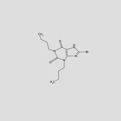 CCCCn1c(=O)c2[nH]c(Br)nc2n(CCCC)c1=O